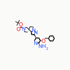 CC(C)(C)OC(=O)N1CC[C@@]2(CCn3nc(-c4cnc(N)c(OCc5ccccc5)c4)cc32)C1